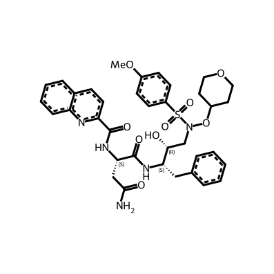 COc1ccc(S(=O)(=O)N(C[C@@H](O)[C@H](Cc2ccccc2)NC(=O)[C@H](CC(N)=O)NC(=O)c2ccc3ccccc3n2)OC2CCOCC2)cc1